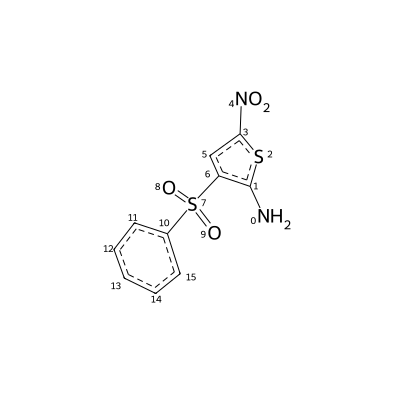 Nc1sc([N+](=O)[O-])cc1S(=O)(=O)c1ccccc1